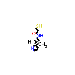 C[Si](C)(CCNC(=O)CCS)c1cccnc1